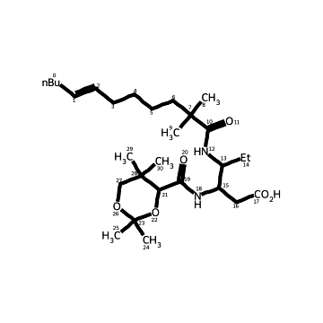 CCCC/C=C/CCCCC(C)(C)C(=O)NC(CC)C(CC(=O)O)NC(=O)C1OC(C)(C)OCC1(C)C